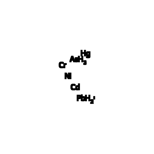 [AsH3].[Cd].[Cr].[Hg].[Ni].[PbH2]